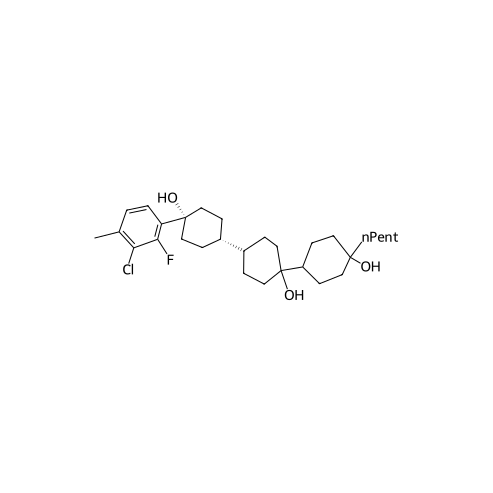 CCCCCC1(O)CCC(C2(O)CCC([C@H]3CC[C@](O)(c4ccc(C)c(Cl)c4F)CC3)CC2)CC1